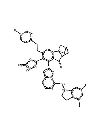 O=C1c2c(nc(CCc3ccc(F)cc3)c(-c3n[nH]c(=O)o3)c2-c2cc3ccnc(N[C@@H]4CCc5c(F)cc(F)cc54)c3s2)C23CC(CN12)C3